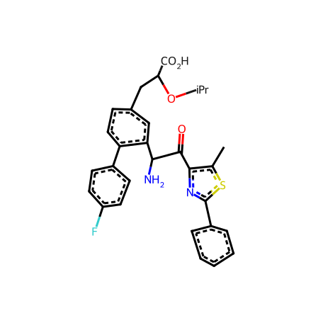 Cc1sc(-c2ccccc2)nc1C(=O)C(N)c1cc(CC(OC(C)C)C(=O)O)ccc1-c1ccc(F)cc1